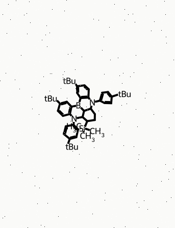 CC(C)(C)c1ccc(N2c3ccc(C(C)(C)C)cc3B3c4cc(C(C)(C)C)ccc4N(c4ccc(C(C)(C)C)cc4)C4C3C2CCC4[Si](C)(C)C)cc1